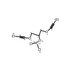 CCC#COCC(COC#CCC)OP(Cl)Cl